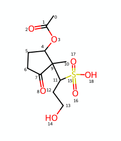 CC(=O)OC1CCC(=O)C1(C)C(CCO)S(=O)(=O)O